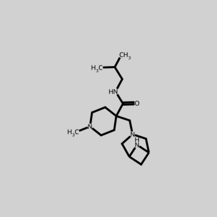 CC(C)CNC(=O)C1(CN2CC3CC(C2)N3)CCN(C)CC1